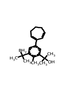 BC(C)(C)c1cc(C2=CCCCC=C2)cc(C(C)(C)O)c1C